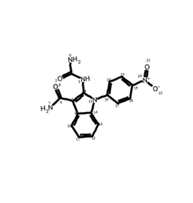 NC(=O)Nc1c(C(N)=O)c2ccccc2n1-c1ccc([N+](=O)[O-])cc1